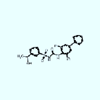 CC(C)c1cc(-c2ccccc2)cc(C(C)C)c1NC(=O)NS(=O)(=O)c1cccc(C(C)O)c1